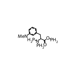 CNc1cccc(CC(C(=O)OP)N(P)P)c1